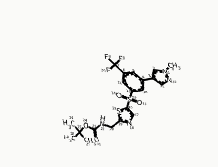 Cn1cc(-c2cc(C(F)(F)F)cc(S(=O)(=O)c3cnc(CNC(=O)OC(C)(C)C)s3)c2)cn1